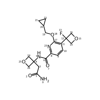 NC(=O)CC1(NC(=O)c2ccc(C3(F)COC3)c(OCC3CC3)n2)COC1